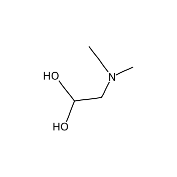 CN(C)CC(O)O